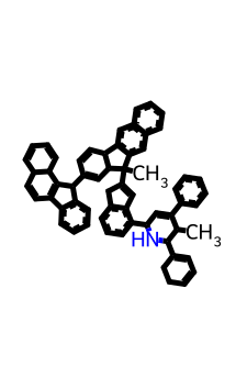 CC1C(c2ccccc2)=CC(c2cccc3c2C=C(C2(C)c4cc5ccccc5cc4C4C=CC(C5C6=C(C=CC7C=CC=CC67)c6ccccc65)=CC42)C3)NC1C1=CC=CCC1